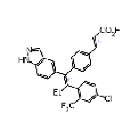 CC/C(=C(/c1ccc(/C=C/C(=O)O)cc1)c1ccc2[nH]ncc2c1)c1ccc(Cl)cc1C(F)(F)F